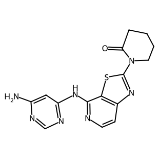 Nc1cc(Nc2nccc3nc(N4CCCCC4=O)sc23)ncn1